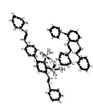 C(=Cc1cccc(-c2ccccc2)c1C=Cc1ccccc1)c1ccccc1.O=S(=O)(O)c1c(C=Cc2ccccc2)ccc(-c2ccc(C=Cc3ccccc3)cc2)c1S(=O)(=O)O